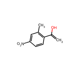 C=C(O)c1ccc([N+](=O)[O-])cc1C